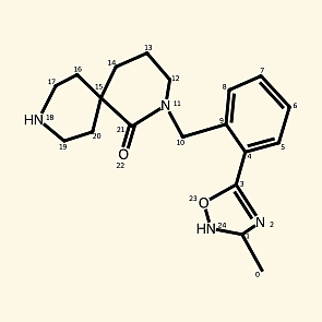 CC1N=C(c2ccccc2CN2CCCC3(CCNCC3)C2=O)ON1